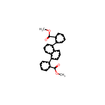 COC(=O)c1ccccc1-c1cccc2c(-c3ccccc3C(=O)OC)cccc12